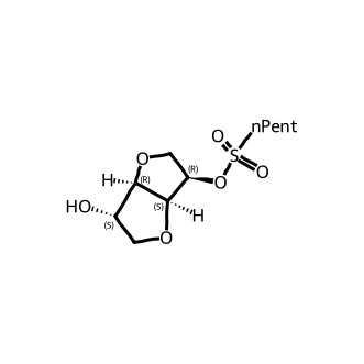 CCCCCS(=O)(=O)O[C@@H]1CO[C@H]2[C@@H]1OC[C@@H]2O